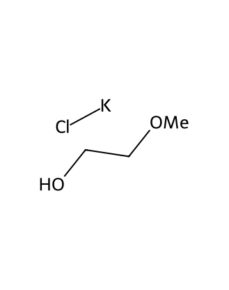 COCCO.[Cl][K]